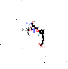 CC(C)(C)OC(=O)N[C@@H](CCC(N)=O)COc1cccc(C#CCCCC(=O)O)c1F